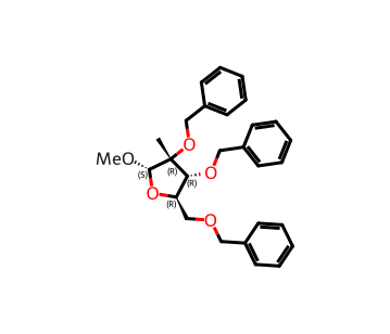 CO[C@H]1O[C@H](COCc2ccccc2)[C@@H](OCc2ccccc2)[C@@]1(C)OCc1ccccc1